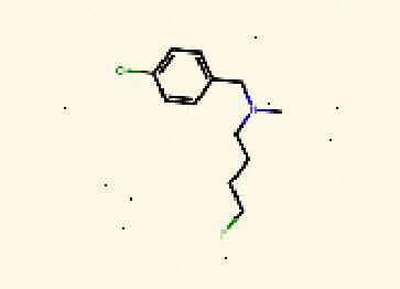 CN(CCCCF)Cc1ccc(Cl)cc1